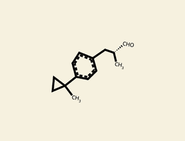 C[C@@H](C=O)Cc1ccc(C2(C)CC2)cc1